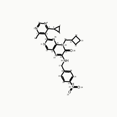 Cc1ncnc(C2CC2)c1-c1ncc2nc(NCc3ccc([SH](=O)=O)cc3)c(=O)n(CC3CCC3)c2n1